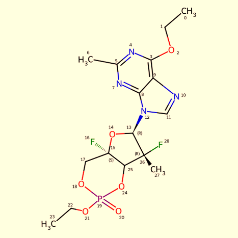 CCOc1nc(C)nc2c1ncn2[C@@H]1O[C@]2(F)COP(=O)(OCC)OC2[C@@]1(C)F